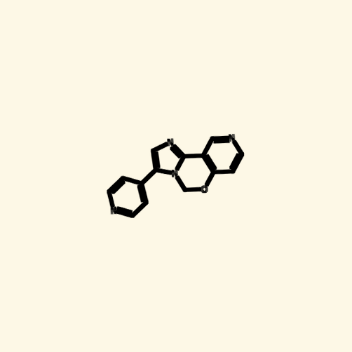 c1cc(-c2cnc3n2COc2ccncc2-3)ccn1